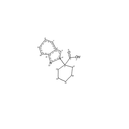 O=C(O)C1(n2cc3ccccc3n2)CCCCC1